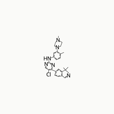 Cc1ccc(Nc2ncc(Cl)c(-c3ccc4c(c3)C(C)(C)CN=C4)n2)cc1N1CCN(C)CC1